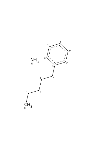 CCCCCc1ccccc1.N